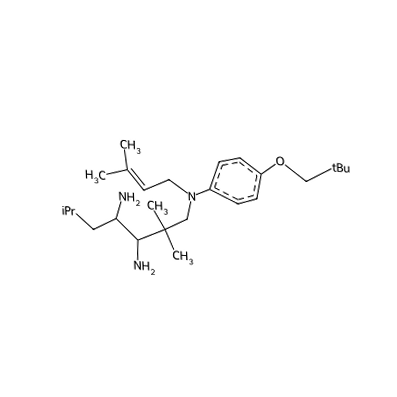 CC(C)=CCN(CC(C)(C)C(N)C(N)CC(C)C)c1ccc(OCC(C)(C)C)cc1